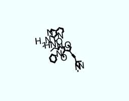 CC(NC(=O)c1c(N)ncc2cccnc12)c1nc2occ(C#Cc3cnn(C)c3)c2c(=O)n1-c1ccccc1